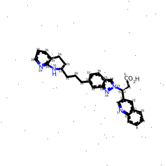 O=C(O)C[C@@H](c1cnc2ccccc2c1)n1cc2ccc(CCCC3CCc4cccnc4N3)cc2n1